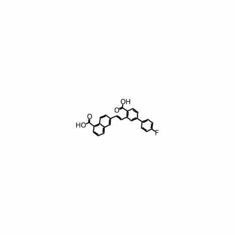 O=C(O)c1ccc(-c2ccc(F)cc2)cc1C=Cc1ccc2c(C(=O)O)cccc2c1